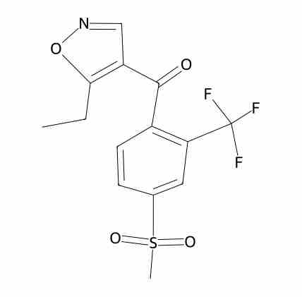 CCc1oncc1C(=O)c1ccc(S(C)(=O)=O)cc1C(F)(F)F